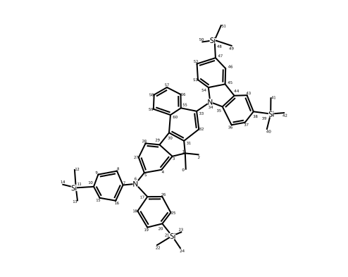 CC1(C)c2cc(N(c3ccc([Si](C)(C)C)cc3)c3ccc([Si](C)(C)C)cc3)ccc2-c2c1cc(-n1c3ccc([Si](C)(C)C)cc3c3cc([Si](C)(C)C)ccc31)c1ccccc21